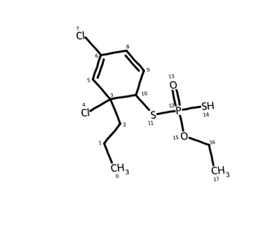 CCCC1(Cl)C=C(Cl)C=CC1SP(=O)(S)OCC